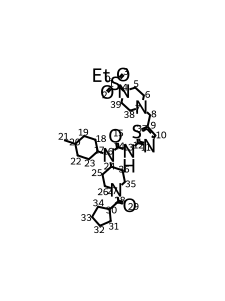 CCS(=O)(=O)N1CCN(Cc2cnc(NC(=O)N(C3CCC(C)CC3)C3CCN(C(=O)C4CCCC4)CC3)s2)CC1